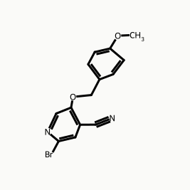 COc1ccc(COc2cnc(Br)cc2C#N)cc1